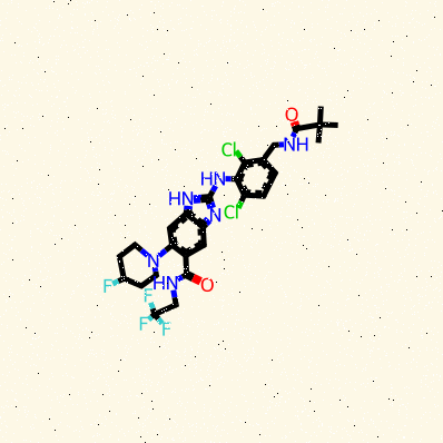 CC(C)(C)C(=O)NCc1ccc(Cl)c(Nc2nc3cc(C(=O)NCC(F)(F)F)c(N4CCC(F)CC4)cc3[nH]2)c1Cl